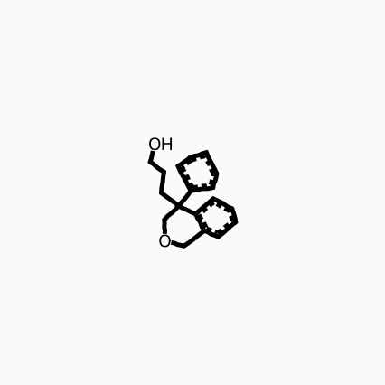 OCCCC1(c2ccccc2)COCc2ccccc21